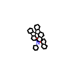 c1ccc(N(c2ccc3c(c2)C2(c4ccccc4-3)c3ccccc3-c3ccc4ccccc4c32)c2cccc3ccccc23)cc1